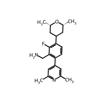 Cc1cc(-c2ccc(C3C[C@@H](C)O[C@@H](C)C3)c(F)c2CN)cc(C)n1